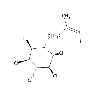 CC(C)=CF.Cl[C@H]1[C@H](Cl)[C@@H](Cl)[C@@H](Cl)[C@H](Cl)[C@H]1Cl